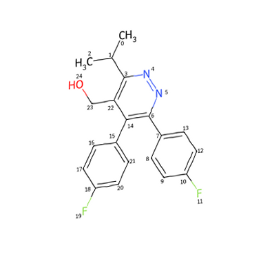 CC(C)c1nnc(-c2ccc(F)cc2)c(-c2ccc(F)cc2)c1CO